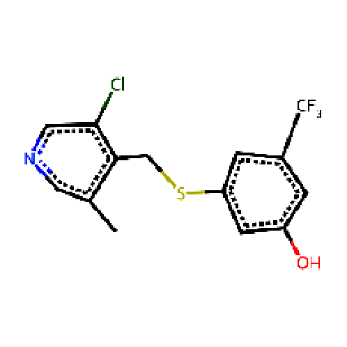 Cc1cncc(Cl)c1CSc1cc(O)cc(C(F)(F)F)c1